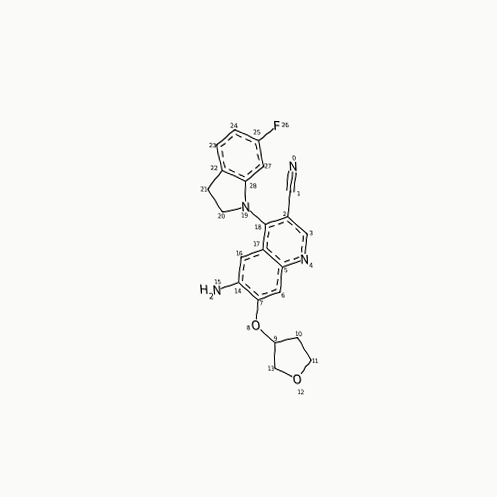 N#Cc1cnc2cc(OC3CCOC3)c(N)cc2c1N1CCc2ccc(F)cc21